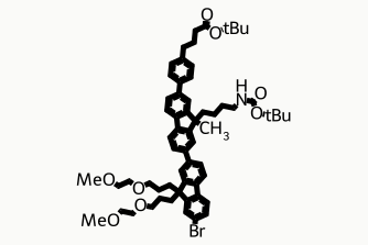 COCCOCCCC1(CCCOCCOC)c2cc(Br)ccc2-c2ccc(-c3ccc4c(c3)C(C)(CCCCNC(=O)OC(C)(C)C)c3cc(-c5ccc(CCCC(=O)OC(C)(C)C)cc5)ccc3-4)cc21